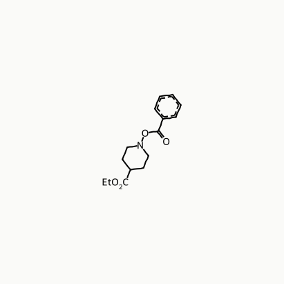 CCOC(=O)C1CCN(OC(=O)c2ccccc2)CC1